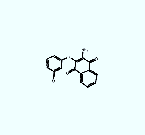 NC1=C(Oc2cccc(O)c2)C(=O)c2ccccc2C1=O